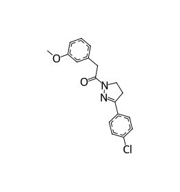 COc1cccc(CC(=O)N2CCC(c3ccc(Cl)cc3)=N2)c1